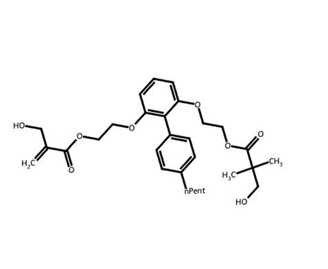 C=C(CO)C(=O)OCCOc1cccc(OCCOC(=O)C(C)(C)CO)c1-c1ccc(CCCCC)cc1